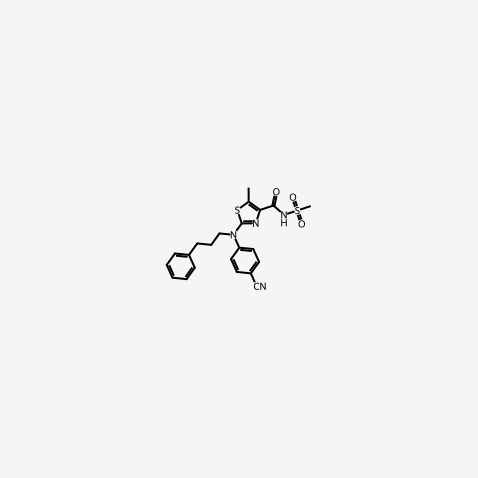 Cc1sc(N(CCCc2ccccc2)c2ccc(C#N)cc2)nc1C(=O)NS(C)(=O)=O